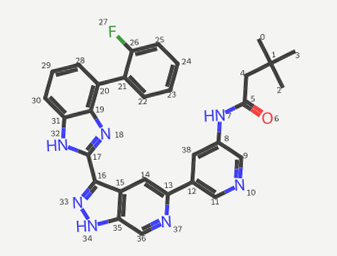 CC(C)(C)CC(=O)Nc1cncc(-c2cc3c(-c4nc5c(-c6ccccc6F)cccc5[nH]4)n[nH]c3cn2)c1